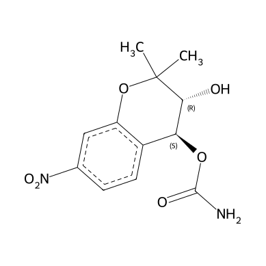 CC1(C)Oc2cc([N+](=O)[O-])ccc2[C@H](OC(N)=O)[C@H]1O